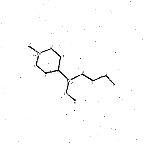 CCCCN(CC)C1CCN(C)CC1